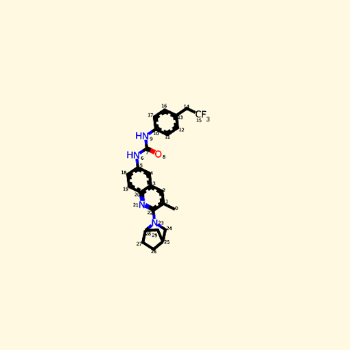 Cc1cc2cc(NC(=O)Nc3ccc(CC(F)(F)F)cc3)ccc2nc1N1CC2CCC1C2